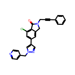 O=C1c2c(Cl)cc(-c3cnn(Cc4ccncc4)c3)cc2CN1CC#Cc1ccccc1